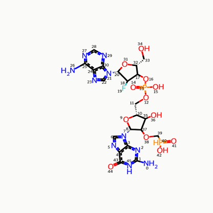 Nc1nc2c(ncn2[C@@H]2O[C@H](COP(=O)(O)OC3C(F)[C@H](n4cnc5c(N)ncnc54)O[C@@H]3CO)C(O)C2OC[PH](=O)O)c(=O)[nH]1